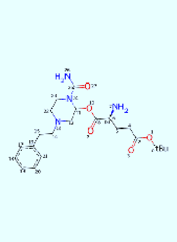 CC(C)(C)OC(=O)CC[C@H](N)C(=O)OC1CN(CCc2ccccc2)CCN1C(N)=O